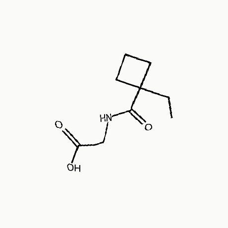 CCC1(C(=O)NCC(=O)O)CCC1